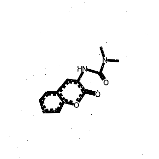 CN(C)C(=O)Nc1cc2ccccc2oc1=O